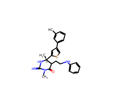 CN1C(=N)N[C@](C)(c2cc(-c3cccc(C#N)c3)cs2)C(CCNc2ccccc2)C1=O